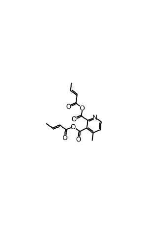 C/C=C/C(=O)OC(=O)c1nccc(C)c1C(=O)OC(=O)/C=C/C